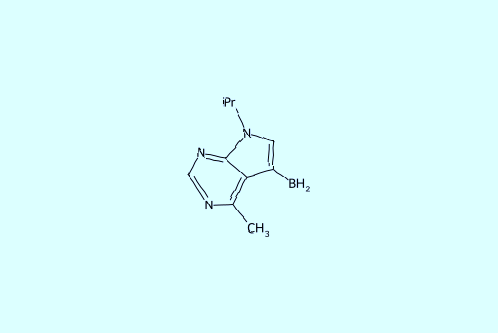 Bc1cn(C(C)C)c2ncnc(C)c12